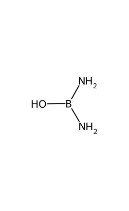 NB(N)O